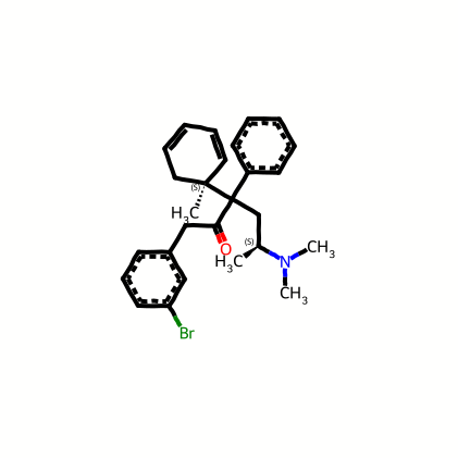 C[C@@H](CC(C(=O)Cc1cccc(Br)c1)(c1ccccc1)[C@]1(C)C=CC=CC1)N(C)C